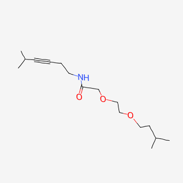 CC(C)C#CCCNC(=O)COCCOCCC(C)C